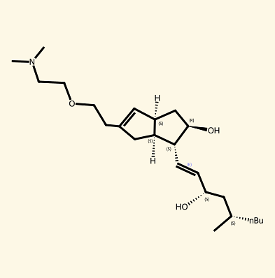 CCCC[C@H](C)C[C@H](O)/C=C/[C@@H]1[C@H]2CC(CCOCCN(C)C)=C[C@H]2C[C@H]1O